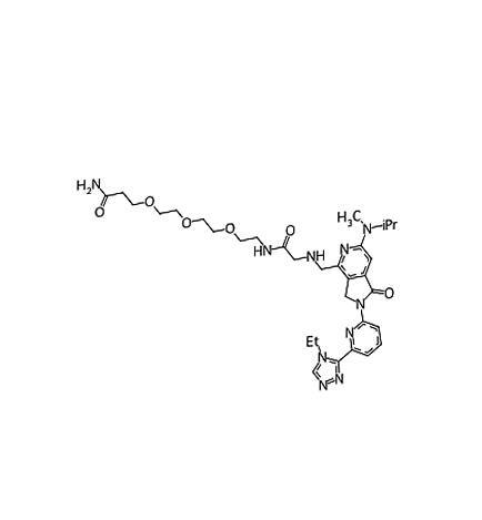 CCn1cnnc1-c1cccc(N2Cc3c(cc(N(C)C(C)C)nc3CNCC(=O)NCCOCCOCCOCCC(N)=O)C2=O)n1